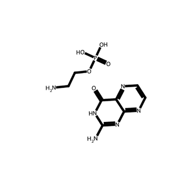 NCCOP(=O)(O)O.Nc1nc2nccnc2c(=O)[nH]1